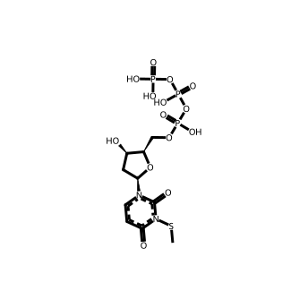 CSn1c(=O)ccn([C@H]2C[C@@H](O)[C@@H](COP(=O)(O)OP(=O)(O)OP(=O)(O)O)O2)c1=O